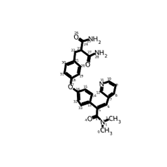 CN(C)C(=O)/C(=C/c1cccnc1)c1ccc(Oc2ccc(CC(C(N)=O)C(N)=O)cc2)cc1